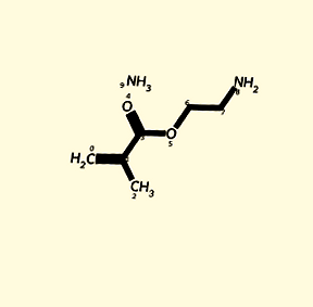 C=C(C)C(=O)OCCN.N